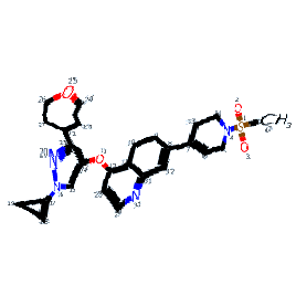 CS(=O)(=O)N1CC=C(c2ccc3c(Oc4cn(C5CC5)nc4C4CCOCC4)ccnc3c2)CC1